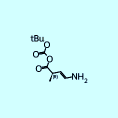 C[C@H](C=CN)C(=O)OC(=O)OC(C)(C)C